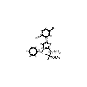 COC(C)(C)[C@@H](N)c1nc(-c2cc(F)ccc2F)cn1Cc1ccccc1